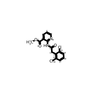 COC(=O)c1cccnc1NC(=O)Cc1c(Cl)cccc1Cl